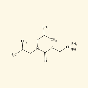 B.CCSC(=O)N(CC(C)C)CC(C)C.F